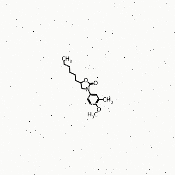 CCCCCCC1CN(c2ccc(OC)c(C)c2)C(=O)O1